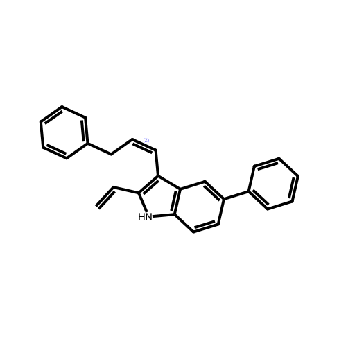 C=Cc1[nH]c2ccc(-c3ccccc3)cc2c1/C=C\Cc1ccccc1